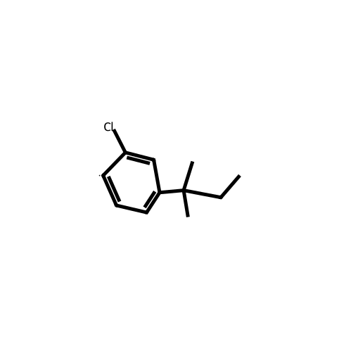 CCC(C)(C)c1cc[c]c(Cl)c1